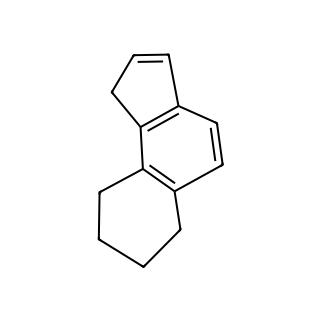 C1=Cc2ccc3c(c2C1)CCCC3